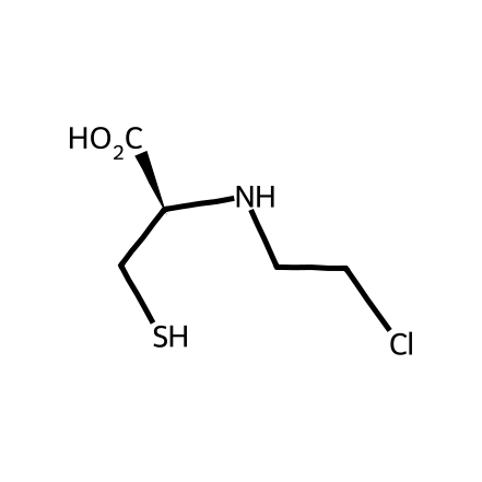 O=C(O)[C@H](CS)NCCCl